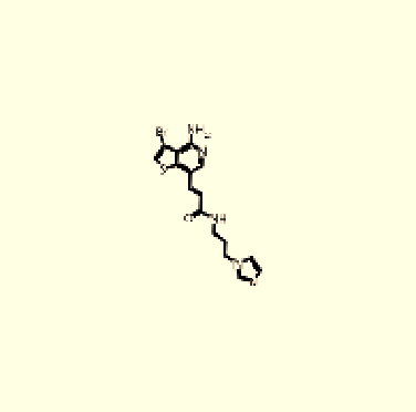 Nc1ncc(/C=C/C(=O)NCCCn2ccnc2)c2scc(Br)c12